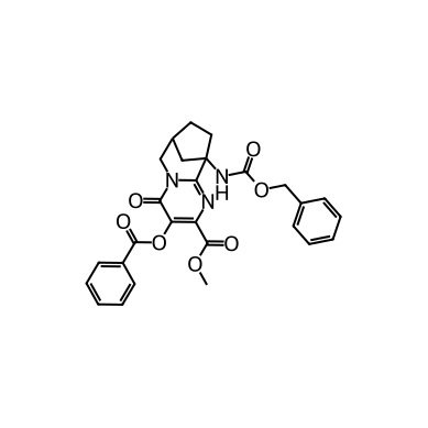 COC(=O)c1nc2n(c(=O)c1OC(=O)c1ccccc1)CC1CCC2(NC(=O)OCc2ccccc2)C1